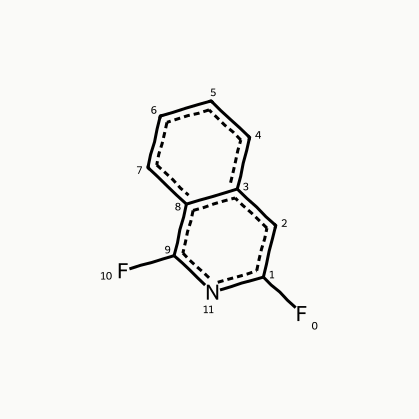 Fc1cc2ccccc2c(F)n1